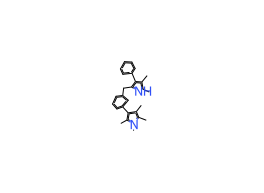 Cc1[nH]c(Cc2cccc(-c3c(C)c(C)n(C)c3C)c2)c(-c2ccccc2)c1C